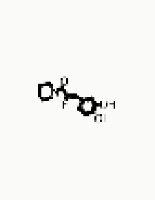 O=C(/C(F)=C/c1ccc(O)c(O)c1)N1CCCCC1